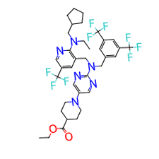 CCOC(=O)C1CCN(c2cnc(N(Cc3cc(C(F)(F)F)cc(C(F)(F)F)c3)Cc3cc(C(F)(F)F)cnc3N(CC)CC3CCCC3)nc2)CC1